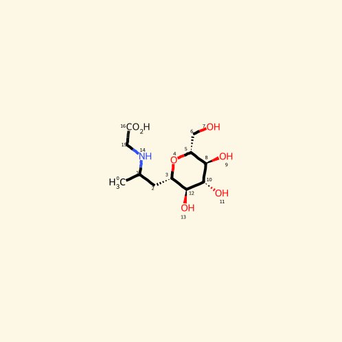 CC(C[C@@H]1O[C@H](CO)[C@@H](O)[C@H](O)[C@H]1O)NCC(=O)O